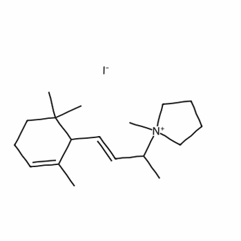 CC1=CCCC(C)(C)C1/C=C/C(C)[N+]1(C)CCCC1.[I-]